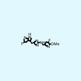 COc1ncc(CNc2ncc(Cc3c[nH]c4ncc(F)cc34)cn2)cc1F